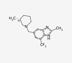 Cc1nc2cc(CN3CCC[C@@H](C)C3)cc(C(F)(F)F)c2[nH]1